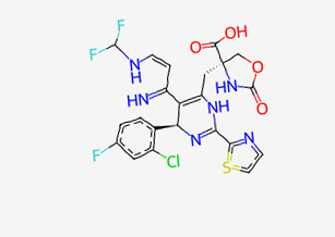 N=C(/C=C\NC(F)F)C1=C(C[C@]2(C(=O)O)COC(=O)N2)NC(c2nccs2)=N[C@H]1c1ccc(F)cc1Cl